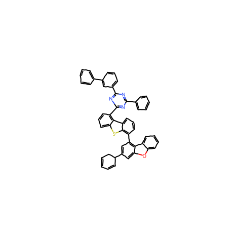 C1=CCC(c2cc(-c3cccc4c3sc3cccc(-c5nc(-c6ccccc6)nc(-c6cccc(-c7ccccc7)c6)n5)c34)c3c(c2)oc2ccccc23)C=C1